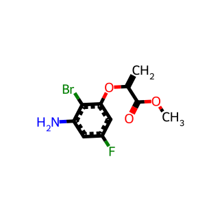 C=C(Oc1cc(F)cc(N)c1Br)C(=O)OC